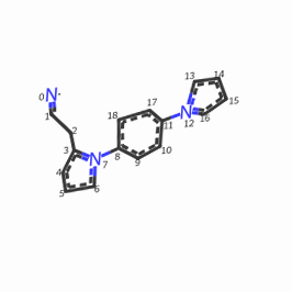 [N]=CCc1cccn1-c1ccc(-n2cccc2)cc1